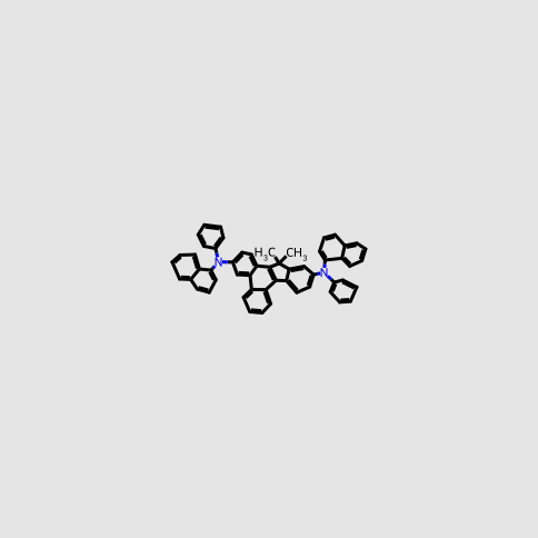 CC1(C)c2cc(N(c3ccccc3)c3cccc4ccccc34)ccc2-c2c1c1ccc(N(c3ccccc3)c3cccc4ccccc34)cc1c1ccccc21